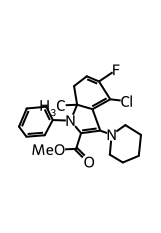 COC(=O)C1=C(N2CCCCC2)C2=C(Cl)C(F)=CCC2(C)N1c1ccccc1